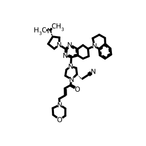 CN(C)[C@H]1CCN(c2nc3c(c(N4CCN(C(=O)/C=C/CN5CCOCC5)[C@@H](CC#N)C4)n2)CCC(N2CCCc4ccccc42)C3)C1